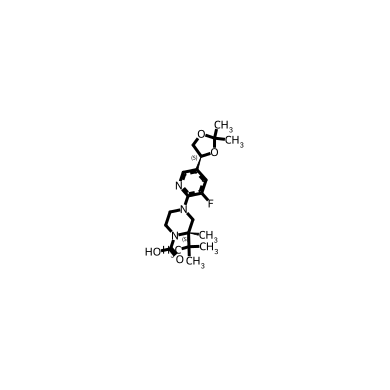 CC1(C)OC[C@H](c2cnc(N3CCN(C(=O)O)[C@@](C)(C(C)(C)C)C3)c(F)c2)O1